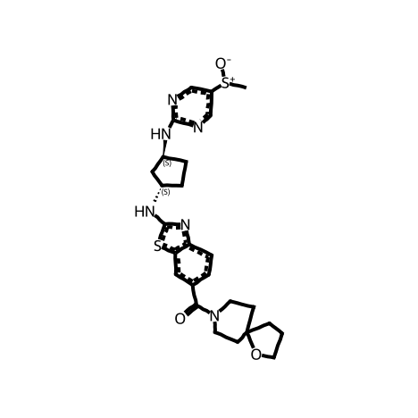 C[S+]([O-])c1cnc(N[C@H]2CC[C@H](Nc3nc4ccc(C(=O)N5CCC6(CCCO6)CC5)cc4s3)C2)nc1